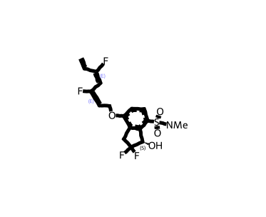 C=C/C(F)=C\C(F)=C/COc1ccc(S(=O)(=O)NC)c2c1CC(F)(F)[C@H]2O